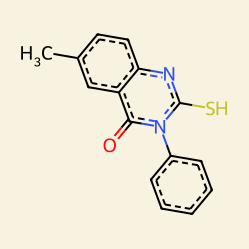 Cc1ccc2nc(S)n(-c3ccccc3)c(=O)c2c1